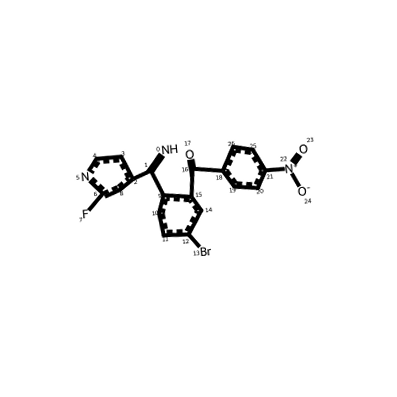 N=C(c1ccnc(F)c1)c1ccc(Br)cc1C(=O)c1ccc([N+](=O)[O-])cc1